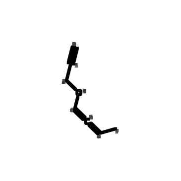 C#CCOC=C=CC